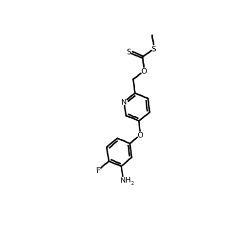 CSC(=S)OCc1ccc(Oc2ccc(F)c(N)c2)cn1